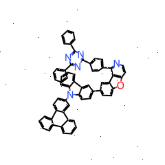 c1ccc(-c2nc(-c3ccccc3)nc(-c3ccc(-c4nccc5oc6ccc(-c7ccc8c(c7)c7ccccc7n8-c7ccc8c9ccccc9c9ccccc9c8c7)cc6c45)cc3)n2)cc1